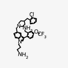 NCCCn1cc(-c2ccc(OC(F)(F)F)cc2CN)c2cc(CN3CCC(Cc4ccccc4Cl)CC3)ccc21